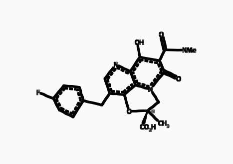 CNC(=O)c1c(O)c2ncc(Cc3ccc(F)cc3)c3c2n(c1=O)C[C@@](C)(C(=O)O)O3